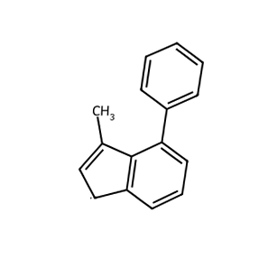 CC1=C[CH]c2cccc(-c3ccccc3)c21